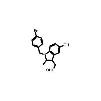 CC1C(CC=O)c2cc(O)ccc2N1Cc1ccc(Br)cc1